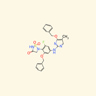 Cc1cnc(Nc2cc(F)c(N3CC(=O)NS3(=O)=O)c(OCc3ccccc3)c2)nc1OCc1ccccc1